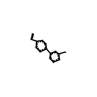 C=Cc1ccc(-c2cccc(C)c2)cc1